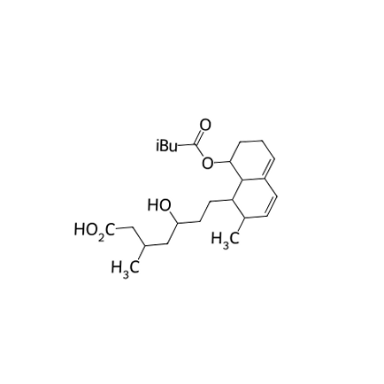 CCC(C)C(=O)OC1CCC=C2C=CC(C)C(CCC(O)CC(C)CC(=O)O)C21